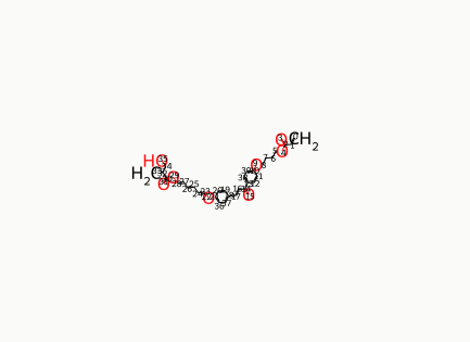 C=CC(=O)OCCCCOc1ccc(C(=O)/C=C/c2ccc(OCCCCCCOC(=O)C(=C)CO)cc2)cc1